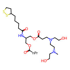 CCCC(=O)OCC(COC(=O)CCN(CCO)CCN(C)CCO)NC(=O)CCCCC1CCSS1